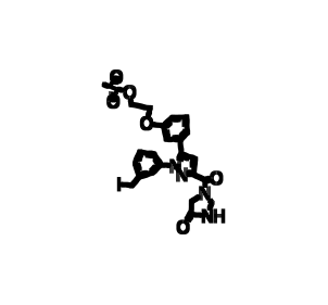 CS(=O)(=O)OCCOc1cccc(-c2cc(C(=O)N3CNC(=O)C3)nn2-c2cccc(CI)c2)c1